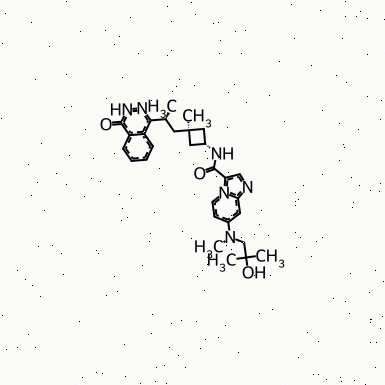 C[C@@H](C[C@]1(C)C[C@@H](NC(=O)c2cnc3cc(N(C)CC(C)(C)O)ccn23)C1)c1n[nH]c(=O)c2ccccc12